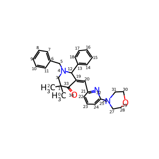 CC1(C)CN(Cc2ccccc2)C(c2ccccc2)C(=Cc2cccc(N3CCOCC3)n2)C1=O